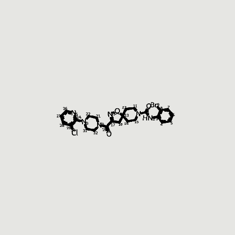 O=C(Nc1ccccc1Br)N1CCC2(CC1)CC(C(=O)N1CCN(c3ncccc3Cl)CC1)=NO2